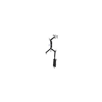 C#C[CH]/C(C)=C\CC